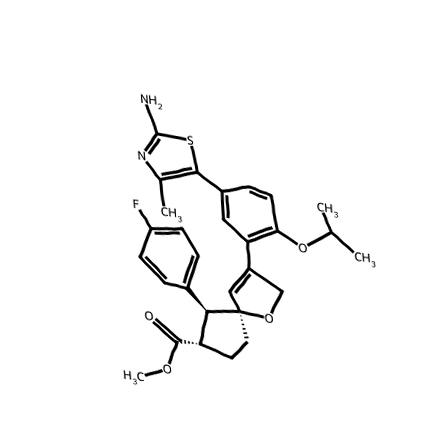 COC(=O)[C@H]1CC[C@@]2(C=C(c3cc(-c4sc(N)nc4C)ccc3OC(C)C)CO2)[C@@H]1c1ccc(F)cc1